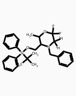 [2H]C1([2H])N(Cc2ccccc2)C(CO[Si](c2ccccc2)(c2ccccc2)C(C)(C)C)C(C)OC1(F)F